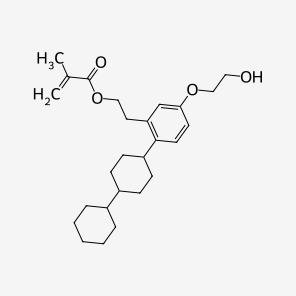 C=C(C)C(=O)OCCc1cc(OCCO)ccc1C1CCC(C2CCCCC2)CC1